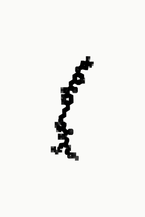 C=C/N=C(\C=C)CNC(=O)c1cn(CCCCc2ccc(NC(=O)Cc3cncc(OC4CC(F)(F)C4)c3)nn2)nn1